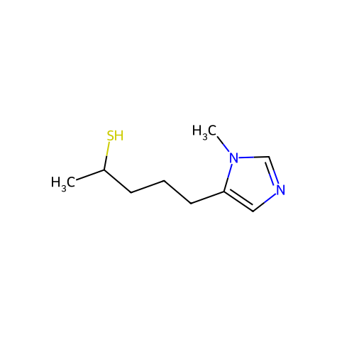 CC(S)CCCc1cncn1C